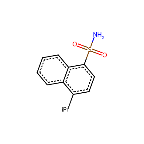 CC(C)c1ccc(S(N)(=O)=O)c2ccccc12